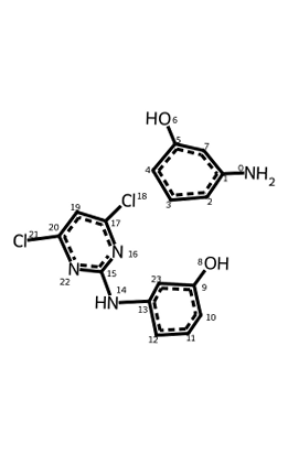 Nc1cccc(O)c1.Oc1cccc(Nc2nc(Cl)cc(Cl)n2)c1